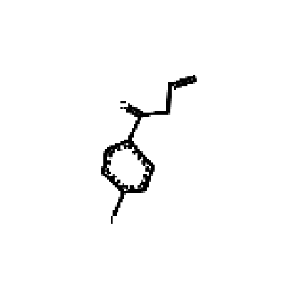 C=C[CH]C(=O)c1ccc(I)cc1